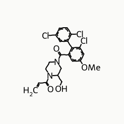 C=CC(=O)N1CCN(C(=O)c2cc(OC)cc(Cl)c2-c2cc(Cl)ccc2Cl)CC1CO